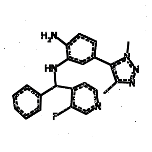 Cc1nnn(C)c1-c1ccc(N)c(NC(c2ccccc2)c2ccncc2F)c1